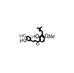 COc1ccc(C(=O)/C=C/c2ccc(O)c(O)c2)c(O)c1CC=C(C)C